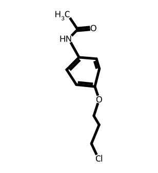 CC(=O)Nc1ccc(OCCCCl)cc1